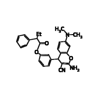 CCC(C(=O)Oc1cccc(C2C(C#N)=C(N)Oc3cc(N(C)C)ccc32)c1)c1ccccc1